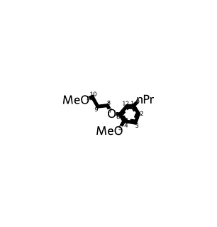 CCCc1ccc(OC)c(OCCCOC)c1